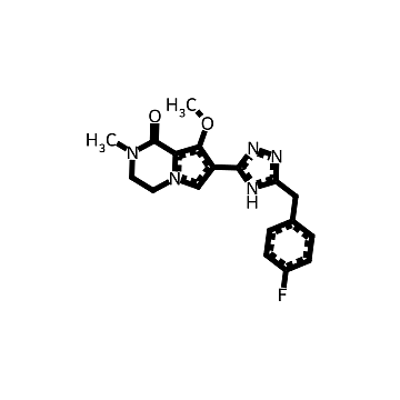 COc1c(-c2nnc(Cc3ccc(F)cc3)[nH]2)cn2c1C(=O)N(C)CC2